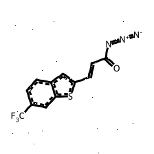 [N-]=[N+]=NC(=O)/C=C/c1cc2ccc(C(F)(F)F)cc2s1